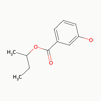 CCC(C)OC(=O)c1cccc([O])c1